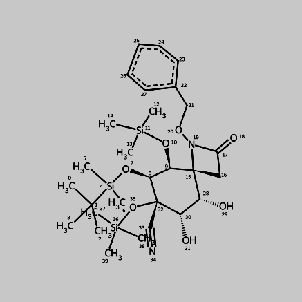 CC(C)(C)[Si](C)(C)O[C@H]1[C@@H](O[Si](C)(C)C)[C@@]2(CC(=O)N2OCc2ccccc2)[C@H](O)[C@H](O)[C@]1(C#N)O[Si](C)(C)C